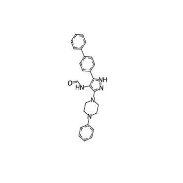 O=CNc1c(N2CCN(c3ccccc3)CC2)n[nH]c1-c1ccc(-c2ccccc2)cc1